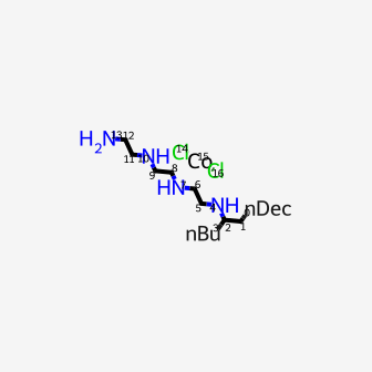 CCCCCCCCCCCC(CCCC)NCCNCCNCCN.[Cl][Co][Cl]